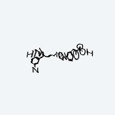 N#Cc1ccc2[nH]cc(C=CCCN3CCN(c4ccc5oc(C(=O)O)cc5c4)CC3)c2c1